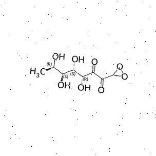 C[C@@H](O)[C@H](O)[C@H](O)[C@@H](O)C(=O)C(=O)C1OO1